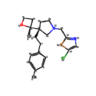 N#Cc1ccc(CC[C@@]2([C@@]3(C(F)(F)F)CCO3)CCN(Cc3ncc(Cl)s3)C2)cc1